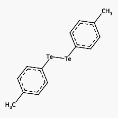 Cc1ccc([Te][Te]c2ccc(C)cc2)cc1